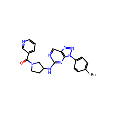 CC(C)(C)c1ccc(-n2nnc3cnc(NC4CCN(C(=O)c5cccnc5)C4)nc32)cc1